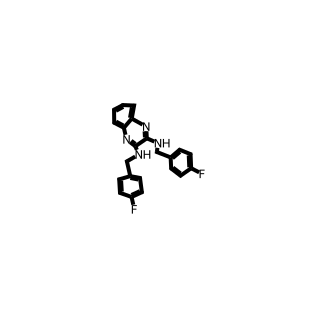 Fc1ccc(CNc2nc3ccccc3nc2NCc2ccc(F)cc2)cc1